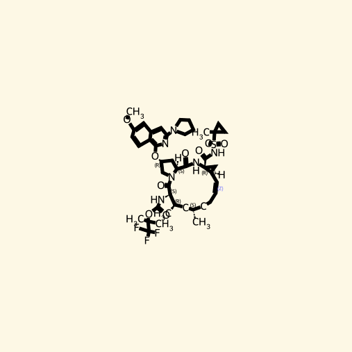 COc1ccc2c(O[C@@H]3C[C@H]4C(=O)N[C@]5(C(=O)NS(=O)(=O)C6(C)CC6)C[C@H]5/C=C\CC[C@H](C)C[C@@H](C)[C@H](NC(=O)OC(C)(C)C(F)(F)F)C(=O)N4C3)nc(N3CCCC3)cc2c1